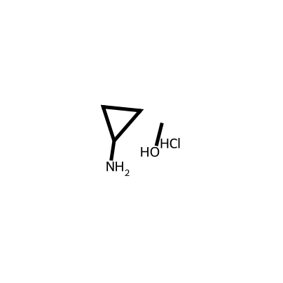 CO.Cl.NC1CC1